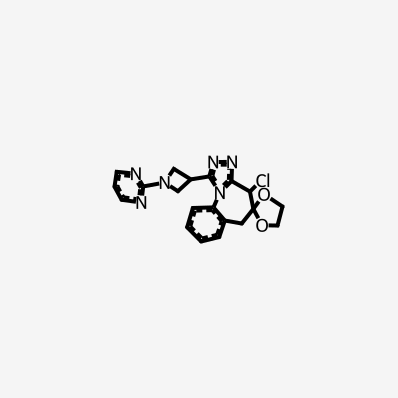 ClC1c2nnc(C3CN(c4ncccn4)C3)n2-c2ccccc2CC12OCCO2